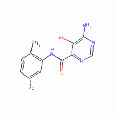 CC(=O)c1ccc(C)c(NC(=O)c2ncnc(N)c2O)c1